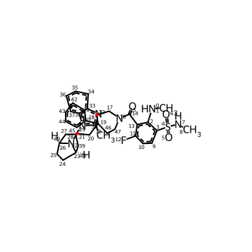 CNc1c(S(=O)(=O)NC)ccc(F)c1C(=O)N1CCC(CCN2[C@@H]3CC[C@H]2CC(n2c(C)nc4ccccc42)C3)(c2ccccc2)CC1